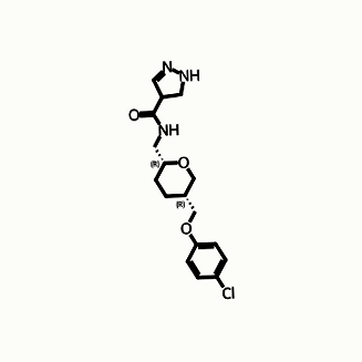 O=C(NC[C@H]1CC[C@@H](COc2ccc(Cl)cc2)CO1)C1C=NNC1